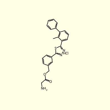 Cc1c(-c2ccccc2)cccc1-c1nnc(-c2cccc(COC(=O)CN)c2)s1.Cl